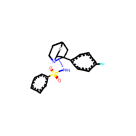 O=S(=O)(N[C@@]1(c2ccc(F)cc2)[CH]C2CCN1CC2)c1ccccc1